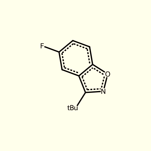 CC(C)(C)c1noc2ccc(F)cc12